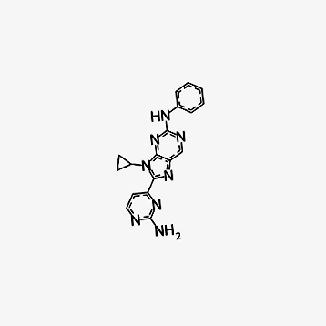 Nc1nccc(-c2nc3cnc(Nc4ccccc4)nc3n2C2CC2)n1